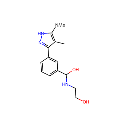 CNc1[nH]nc(-c2cccc(C(O)NCCO)c2)c1C